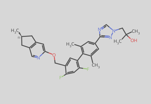 Cc1cc(-c2ncn(CC(C)(C)O)n2)cc(C)c1-c1cc(COc2cc3c(cn2)C[C@@H](C)C3)c(F)cc1F